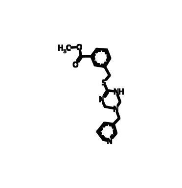 COC(=O)c1cccc(CSC2=NCN(Cc3cccnc3)CN2)c1